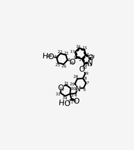 O=C(O)C1(CN2CCC(COc3noc4cccc(O[C@H]5CC[C@H](O)CC5)c34)CC2)CCOCC1